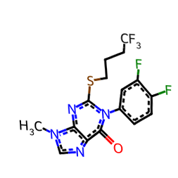 Cn1cnc2c(=O)n(-c3ccc(F)c(F)c3)c(SCCCC(F)(F)F)nc21